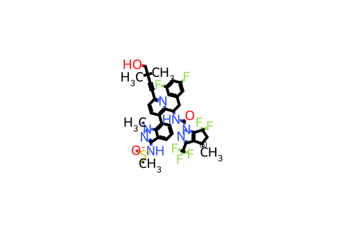 C[C@H]1CC(F)(F)c2c1c(C(F)(F)F)nn2C(=O)NC(Cc1cc(F)cc(F)c1)c1nc(C#CC(C)(C)CO)ccc1-c1cccc2c(N[S+](C)[O-])nn(C)c12